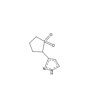 O=S1(=O)CCCC1c1cc[nH]n1